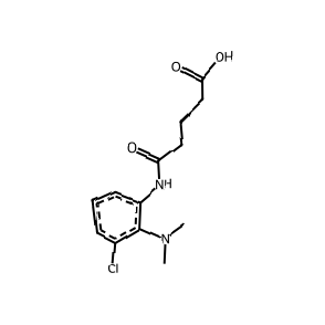 CN(C)c1c(Cl)cccc1NC(=O)CCCC(=O)O